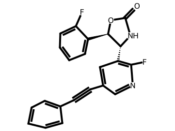 O=C1N[C@H](c2cc(C#Cc3ccccc3)cnc2F)[C@@H](c2ccccc2F)O1